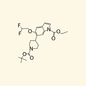 CCOC(=O)n1ccc2cc(OCC(F)F)c(C3CCN(C(=O)OC(C)(C)C)CC3)cc21